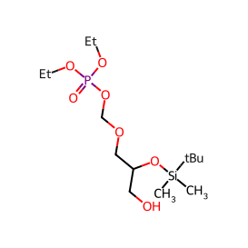 CCOP(=O)(OCC)OCOCC(CO)O[Si](C)(C)C(C)(C)C